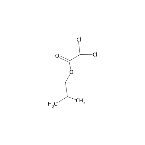 CC(C)COC(=O)C(Cl)Cl